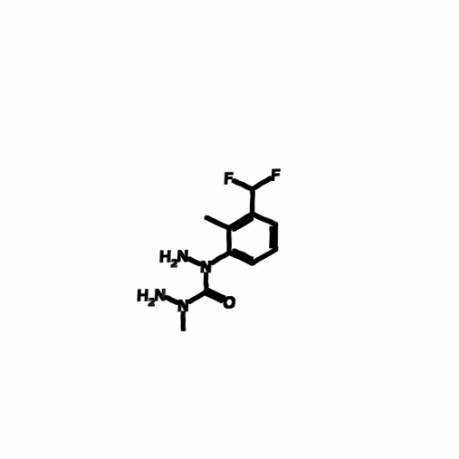 Cc1c(C(F)F)cccc1N(N)C(=O)N(C)N